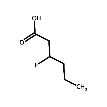 CCCC(F)CC(=O)O